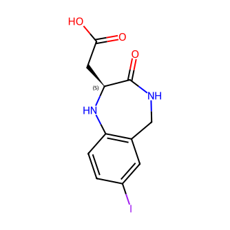 O=C(O)C[C@@H]1Nc2ccc(I)cc2CNC1=O